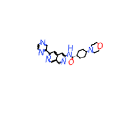 O=C(Nc1cc2cc(-c3cnccn3)ncc2cn1)[C@H]1CC[C@H](N2CCOCC2)CC1